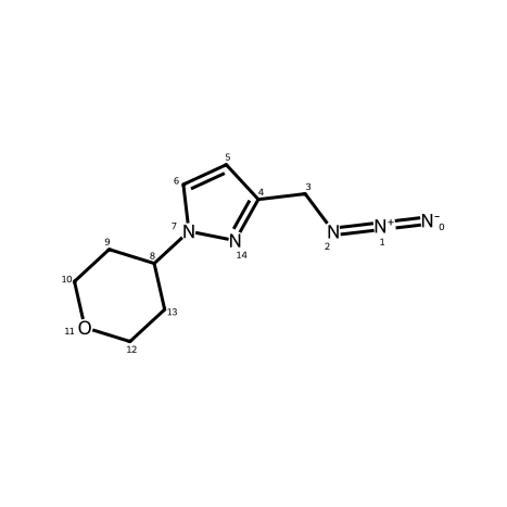 [N-]=[N+]=NCc1ccn(C2CCOCC2)n1